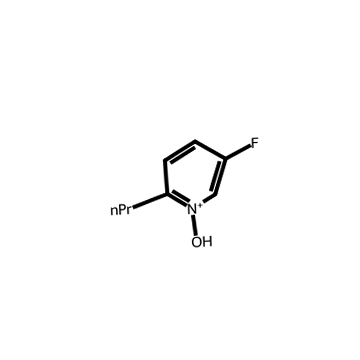 CCCc1ccc(F)c[n+]1O